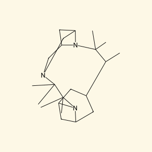 CC1C2CC3CC(C2)N3C(C)(C)C(C)(C)N2CC3CC(C2)N3C1(C)C